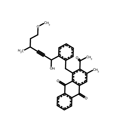 COCCC(C)C#CC(O)c1ccccc1Cc1c(C(C)=O)c(C)cc2c1C(=O)c1ccccc1C2=O